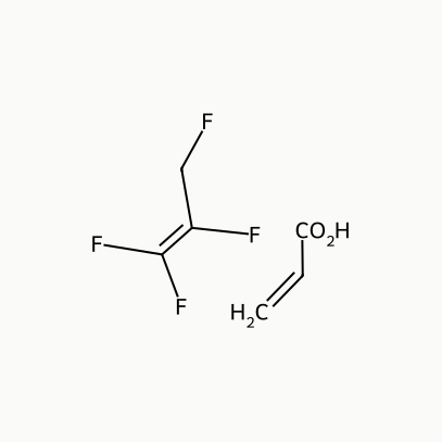 C=CC(=O)O.FCC(F)=C(F)F